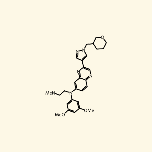 CNCCN(c1cc(OC)cc(OC)c1)c1ccc2ncc(-c3cnn(CC4CCCOC4)c3)nc2c1